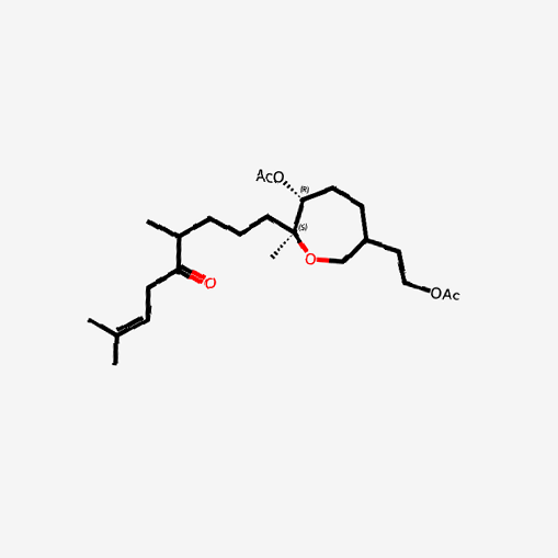 CC(=O)OCCC1CC[C@@H](OC(C)=O)[C@](C)(CCCC(C)C(=O)CC=C(C)C)OC1